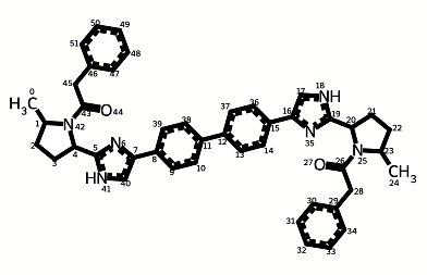 CC1CCC(c2nc(-c3ccc(-c4ccc(-c5c[nH]c(C6CCC(C)N6C(=O)Cc6ccccc6)n5)cc4)cc3)c[nH]2)N1C(=O)Cc1ccccc1